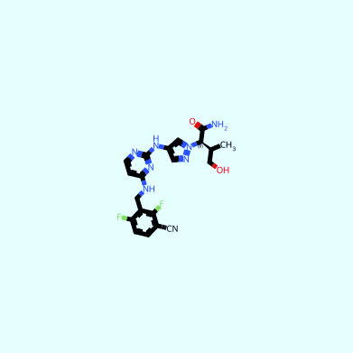 CC(CO)[C@H](C(N)=O)n1cc(Nc2nccc(NCc3c(F)ccc(C#N)c3F)n2)cn1